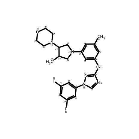 Cc1cc(Nc2ncn(-c3cc(F)cc(F)c3)n2)cc(N2CC(C)C(N3CCOCC3)C2)c1